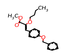 CCCCOC(=Cc1ccc(OCc2ccccc2)cc1)C(=O)OC